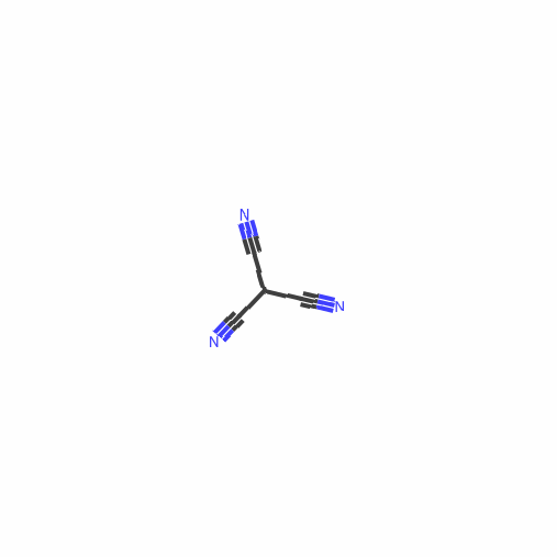 N#C[C](C#N)C#N